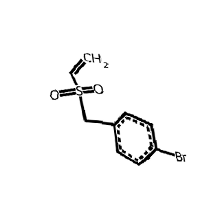 C=CS(=O)(=O)Cc1ccc(Br)cc1